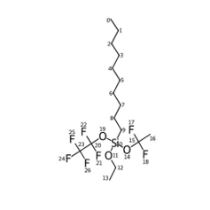 CCCCCCCCCC[Si](OCC)(OC(C)(F)F)OC(F)(F)C(F)(F)F